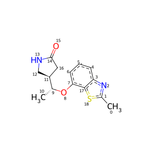 Cc1nc2c[c]cc(O[C@H](C)[C@H]3CNC(=O)C3)c2s1